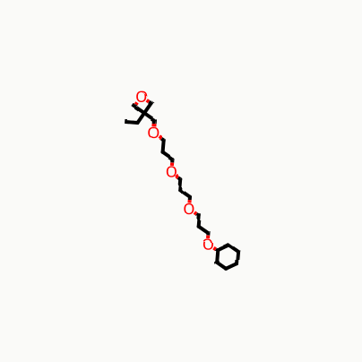 CCC1(COCCCOCCCOCCCOC2CCCCC2)COC1